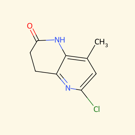 Cc1cc(Cl)nc2c1NC(=O)CC2